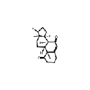 C[C@]12C(=O)CCCC1=CC(=O)[C@@H]1[C@H]2CC[C@]2(C)C(F)CC[C@@H]12